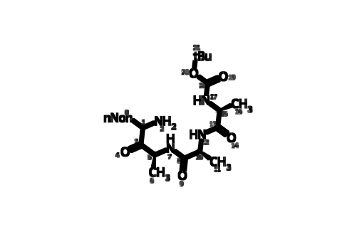 CCCCCCCCCC(N)C(=O)[C@H](C)NC(=O)[C@H](C)NC(=O)[C@H](C)NC(=O)OC(C)(C)C